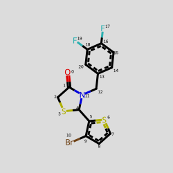 O=C1CSC(c2sccc2Br)N1Cc1ccc(F)c(F)c1